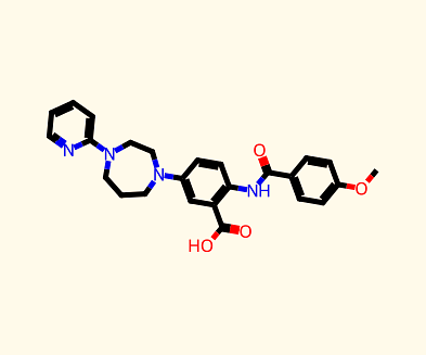 COc1ccc(C(=O)Nc2ccc(N3CCCN(c4ccccn4)CC3)cc2C(=O)O)cc1